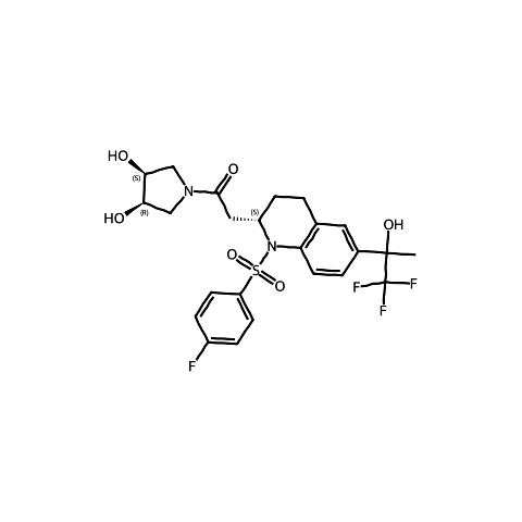 CC(O)(c1ccc2c(c1)CC[C@@H](CC(=O)N1C[C@@H](O)[C@@H](O)C1)N2S(=O)(=O)c1ccc(F)cc1)C(F)(F)F